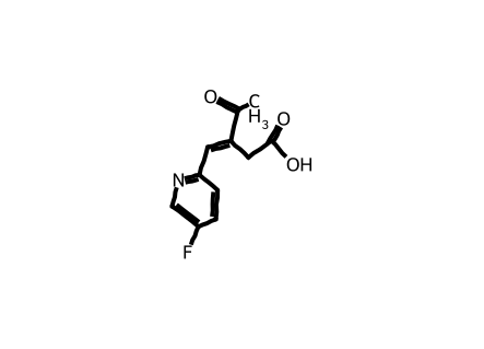 CC(=O)/C(=C/c1ccc(F)cn1)CC(=O)O